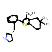 CC1(C)CCc2sc(-c3ccccc3C[C@@H]3CCNC3)c(C(=O)O)c2C1